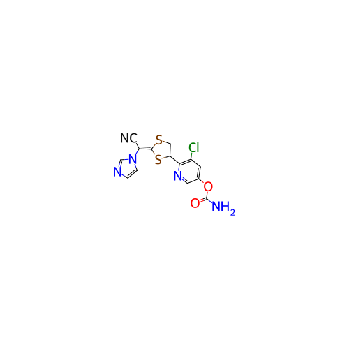 N#CC(=C1SCC(c2ncc(OC(N)=O)cc2Cl)S1)n1ccnc1